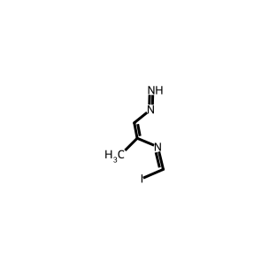 CC(=C/N=N)/N=C\I